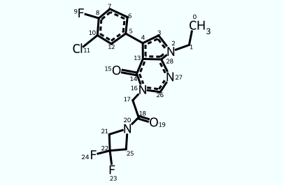 CCn1cc(-c2ccc(F)c(Cl)c2)c2c(=O)n(CC(=O)N3CC(F)(F)C3)cnc21